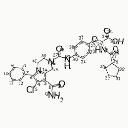 NC(=O)c1c(Cl)c(-c2ccccc2)n2c1CN(C(=O)Nc1ccc(OC(NC(=O)C3CCCC3)C(=O)O)cc1)CC2